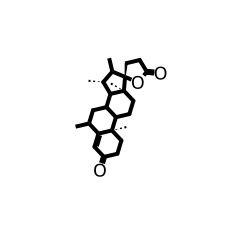 CC1CC2C(CC[C@@]3(C)C2[C@H](C)C(C)[C@@]32CCC(=O)O2)[C@@]2(C)CCC(=O)C=C12